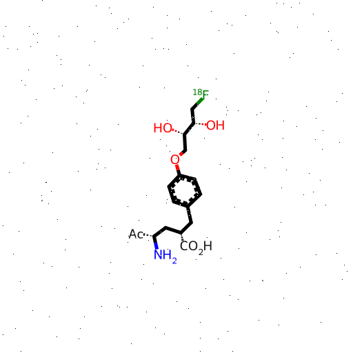 CC(=O)[C@@H](N)C[C@H](Cc1ccc(OC[C@H](O)[C@@H](O)C[18F])cc1)C(=O)O